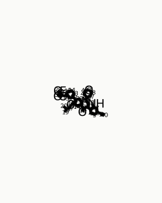 C#Cc1ccc2c(c1)[nH]c1c2c(=O)c2cc(OCC(C)C)c(-c3cccc(OS(=O)(=O)F)c3)cc2n1C1CCOCC1